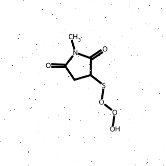 CN1C(=O)CC(SOOO)C1=O